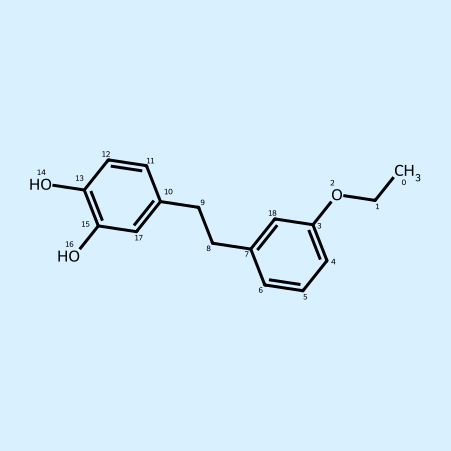 CCOc1cccc(CCc2ccc(O)c(O)c2)c1